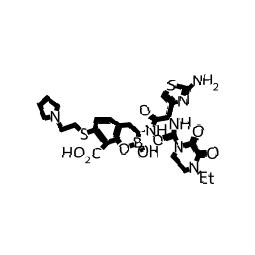 CCN1CCN(C(=O)NC(C(=O)N[C@H]2Cc3ccc(SCCN4CCCC4)c(C(=O)O)c3OB2O)c2csc(N)n2)C(=O)C1=O